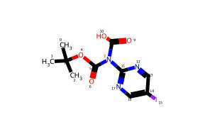 CC(C)(C)OC(=O)N(C(=O)O)c1ncc(I)cn1